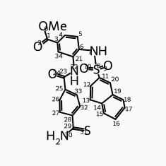 COC(=O)c1ccc(NS(=O)(=O)c2ccc3ccccc3c2)c(NC(=O)c2ccc(C(N)=S)cc2)c1